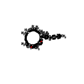 CO[C@H]1C[C@@H]2CC[C@@H](C)[C@@](O)(O2)C(=O)C(=O)N2CCCC[C@H]2C(=O)O[C@H]([C@H](N)C[C@@H]2CC[C@@H](OC(=O)N3CCN(c4ncc(C)cn4)CC3)[C@H](OC)C2)CC(=O)[C@H](C)/C=C(\C)[C@@H](O)[C@@H](O)C(=O)[C@H](C)C[C@H](C)/C=C/C=C/C=C/1C